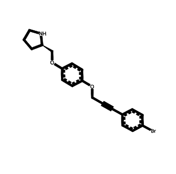 Brc1ccc(C#CCOc2ccc(OC[C@H]3CCCN3)cc2)cc1